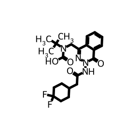 CC(C)(C)N(Cc1nn(NC(=O)CC2CCC(F)(F)CC2)c(=O)c2ccccc12)C(=O)O